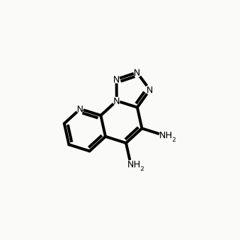 Nc1c(N)c2nnnn2c2ncccc12